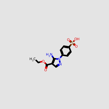 CCOC(=O)c1cnn(-c2ccc(S(=O)(=O)O)cc2)c1N